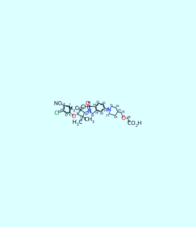 CC1(C)[C@H](Oc2ccc(C#N)c(Cl)c2)C(C)(C)[C@H]1N1Cc2cc(N3CCC(COCC(=O)O)CC3)ccc2C1=O